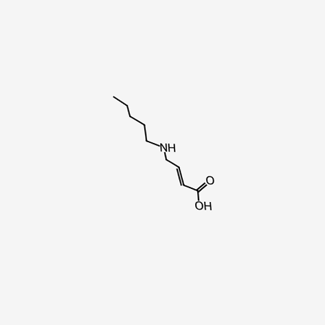 CCCCCNCC=CC(=O)O